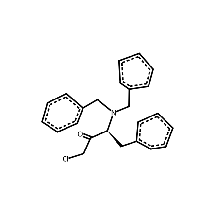 O=C(CCl)[C@H](Cc1ccccc1)N(Cc1ccccc1)Cc1ccccc1